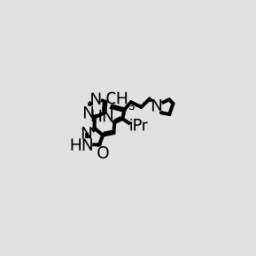 Cc1[nH]c(/C=C2/C(=O)NN=C2c2ccncn2)c(C(C)C)c1CCCN1CCCC1